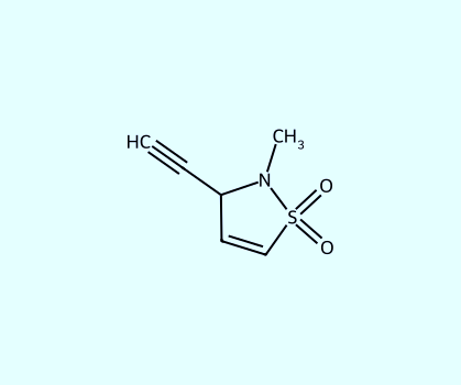 C#CC1C=CS(=O)(=O)N1C